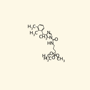 CO[Si](CCCNC(=O)n1cnc(C(C)c2cccc(C)c2C)c1)(OC)OC